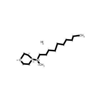 CCCCCCCCCCN(C)N1CCOCC1.I